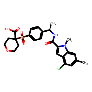 Cc1cc(Cl)c2cc(C(=O)N[C@H](C)c3ccc(S(=O)(=O)C4(C(=O)O)CCOCC4)cc3)n(C)c2c1